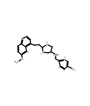 COc1ccc2nccc(CCC3OCC(NCc4ccc(Cl)cn4)CO3)c2c1